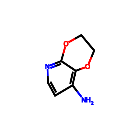 Nc1ccnc2c1OCCO2